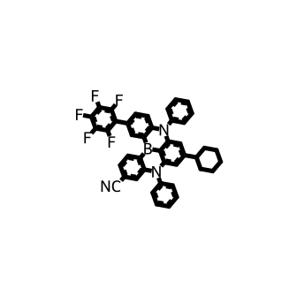 N#Cc1ccc2c(c1)N(c1ccccc1)c1cc(C3CCCCC3)cc3c1B2c1cc(-c2c(F)c(F)c(F)c(F)c2F)ccc1N3c1ccccc1